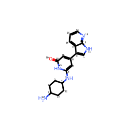 NC1CCC(Nc2cc(-c3c[nH]c4ncccc34)cc(=O)[nH]2)CC1